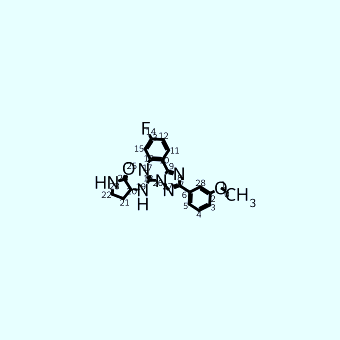 COc1cccc(-c2nc3c4ccc(F)cc4nc(N[C@H]4CCNC4=O)n3n2)c1